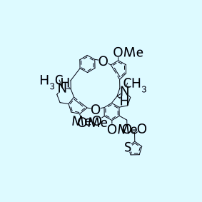 COc1ccc2cc1Oc1ccc(cc1)C[C@H]1c3cc(c(OC)cc3CCN1C)Oc1c(OC)c(OC)c(COC(=O)c3cccs3)c3c1[C@H](C2)N(C)CC3